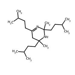 CC(C)CCC1=NC(C)(CCC(C)C)NC(C)(CCC(C)C)C1